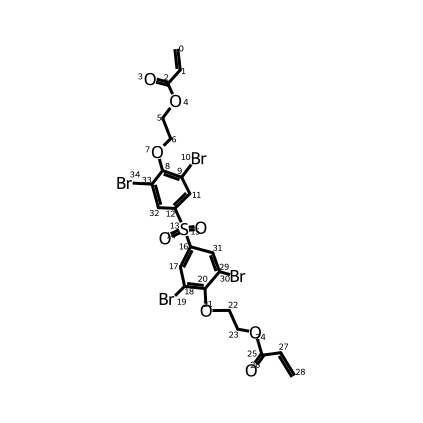 C=CC(=O)OCCOc1c(Br)cc(S(=O)(=O)c2cc(Br)c(OCCOC(=O)C=C)c(Br)c2)cc1Br